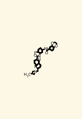 CC1CN(Cc2ccc3cc(C(=O)Nc4cc(NC(=O)c5ccc6c(c5)OCCO6)ccc4F)ccc3n2)C1